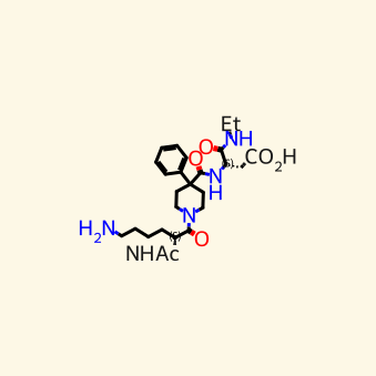 CCNC(=O)[C@H](CC(=O)O)NC(=O)C1(c2ccccc2)CCN(C(=O)[C@H](CCCCN)NC(C)=O)CC1